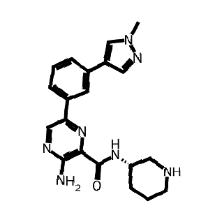 Cn1cc(-c2cccc(-c3cnc(N)c(C(=O)N[C@H]4CCCNC4)n3)c2)cn1